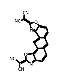 N#CC(C#N)=c1nc2c(ccc3cc4ccc5nc(=C(C#N)C#N)oc5c4cc32)o1